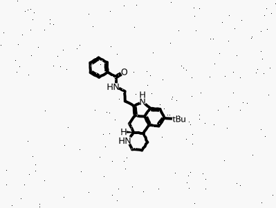 CC(C)(C)c1cc2c3c(c(CCNC(=O)c4ccccc4)[nH]c3c1)C[C@H]1NCCCC21